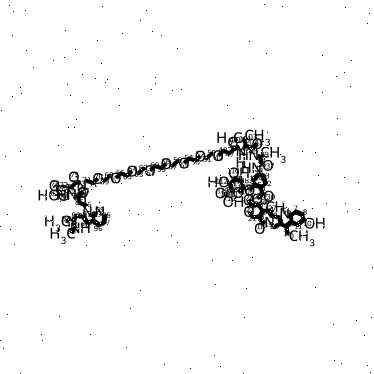 CCc1c2c(nc3ccc(O)cc13)-c1cc3c(c(=O)n1C2)COC(=O)[C@@]3(CC)OC(=O)c1ccc(NC(=O)[C@H](C)NC(=O)[C@@H](NC(=O)CCOCCOCCOCCOCCOCCOCCOCCOCCNC(=O)[C@H](CS(=O)(=O)O)NC(=O)CCn2c(CN(C)NC)cc3cccnc32)C(C)C)cc1O[C@H]1C[C@@H](O)[C@H](O)[C@@H](C(=O)O)O1